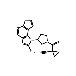 Cc1nc2cnc3[nH]ccc3c2n1C1CCN(C(=O)C2(C#N)CC2)C1